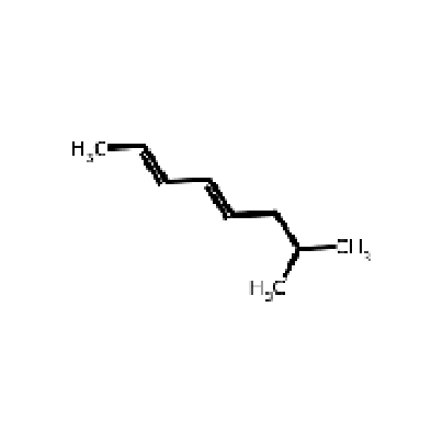 CC=CC=CCC(C)C